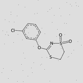 O=S1(=O)CCSC(Oc2cccc(Cl)c2)=N1